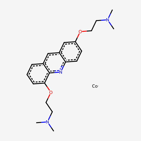 CN(C)CCOc1ccc2nc3c(OCCN(C)C)cccc3cc2c1.[Co]